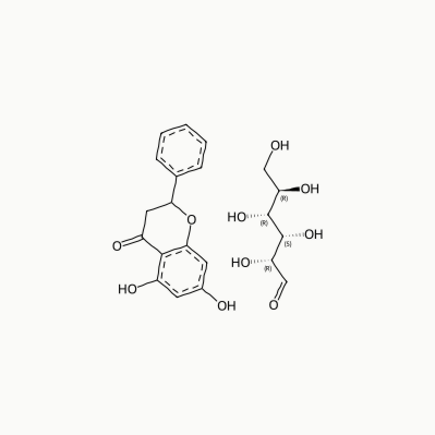 O=C1CC(c2ccccc2)Oc2cc(O)cc(O)c21.O=C[C@H](O)[C@@H](O)[C@H](O)[C@H](O)CO